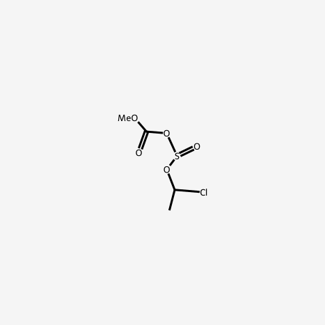 COC(=O)OS(=O)OC(C)Cl